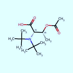 CC(=O)O[C@H](C)[C@@H](C(=O)O)N(C(C)(C)C)C(C)(C)C